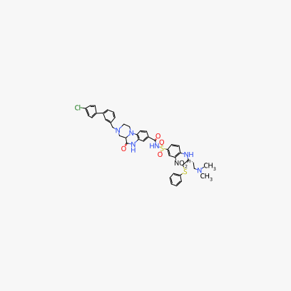 CN(C)CC[C@H](CSc1ccccc1)Nc1ccc(S(=O)(=O)NC(=O)c2ccc3c(c2)NC(=O)C2CN(Cc4cccc(-c5ccc(Cl)cc5)c4)CCN32)cc1[N+](=O)[O-]